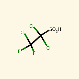 O=S(=O)(O)C(Cl)(Cl)C(F)(F)Cl